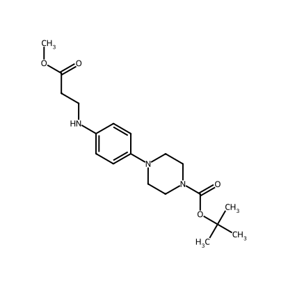 COC(=O)CCNc1ccc(N2CCN(C(=O)OC(C)(C)C)CC2)cc1